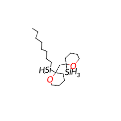 CCCCCCCC[SiH](C)C1(CC2([SiH3])CCCCO2)CCCCO1